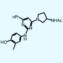 CCCc1cc(N2CCC(NC(C)=O)C2)nc(Nc2ccc(O)c(F)c2)n1